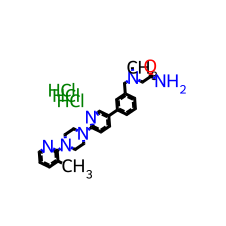 Cc1cccnc1N1CCN(c2ccc(-c3cccc(CN(C)CC(N)=O)c3)cn2)CC1.Cl.Cl.Cl